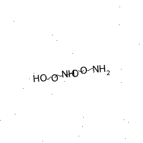 NCCOCCOCCNCCOCCO